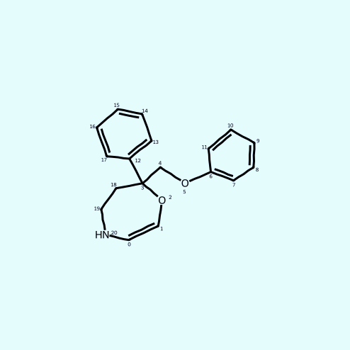 C1=COC(COc2ccccc2)(c2ccccc2)CCN1